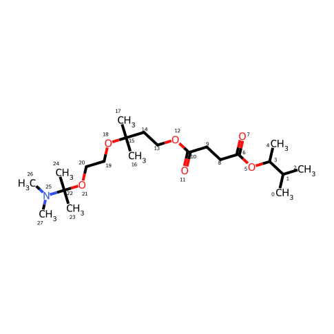 CC(C)C(C)OC(=O)CCC(=O)OCCC(C)(C)OCCOC(C)(C)N(C)C